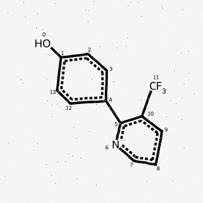 Oc1ccc(-c2ncccc2C(F)(F)F)cc1